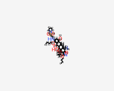 CCCCOc1noc2c1C(=O)[C@@]1(O[Si](C)(C)C(C)(C)C)C(O)=C3C(=O)c4c(c(OC)cc(NCCS(=O)(=O)N5CCCC5)c4OCCCC)C[C@H]3C[C@H]1[C@@H]2N(C)C